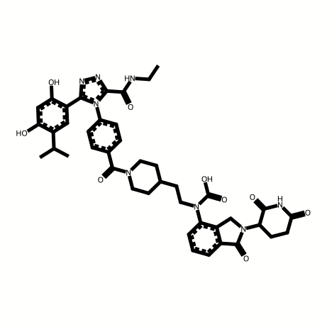 CCNC(=O)c1nnc(-c2cc(C(C)C)c(O)cc2O)n1-c1ccc(C(=O)N2CCC(CCN(C(=O)O)c3cccc4c3CN(C3CCC(=O)NC3=O)C4=O)CC2)cc1